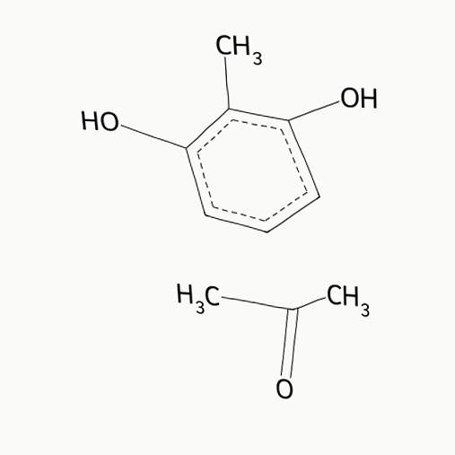 CC(C)=O.Cc1c(O)cccc1O